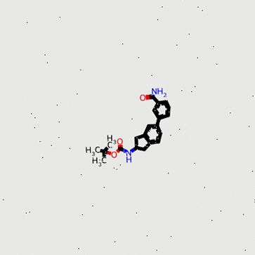 CC(C)(C)OC(=O)NC1Cc2ccc(-c3cccc(C(N)=O)c3)cc2C1